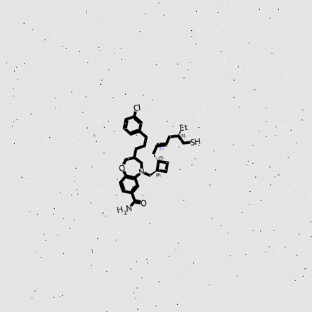 CC[C@H](CS)C/C=C/C[C@@H]1CC[C@H]1CN1CC(CCCc2cccc(Cl)c2)COc2ccc(C(N)=O)cc21